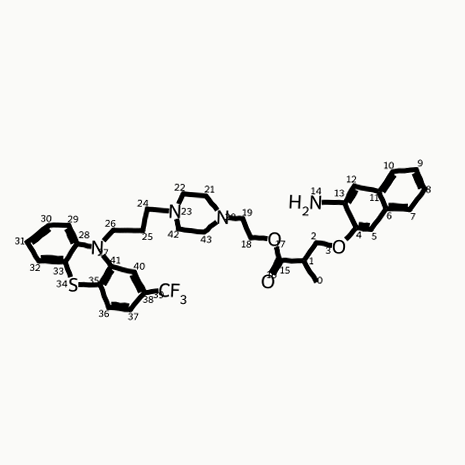 CC(COc1cc2ccccc2cc1N)C(=O)OCCN1CCN(CCCN2c3ccccc3Sc3ccc(C(F)(F)F)cc32)CC1